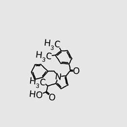 Cc1ccc(C(=O)c2ccc(C(C)C(=O)O)n2Cc2ccccc2)cc1C